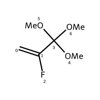 C=C(F)C(OC)(OC)OC